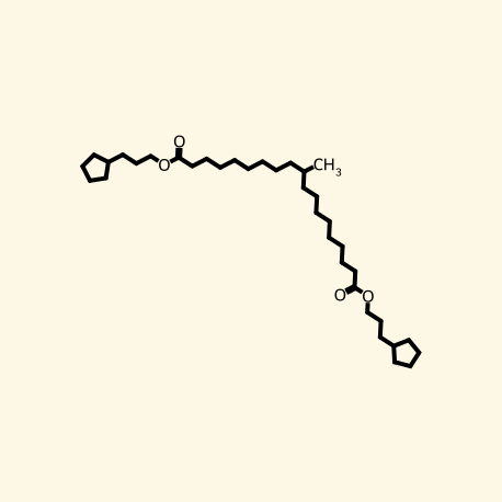 CC(CCCCCCCCC(=O)OCCCC1CCCC1)CCCCCCCCC(=O)OCCCC1CCCC1